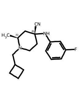 C[C@H]1C[C@](C#N)(Nc2cccc(F)c2)CCN1CC1CCC1